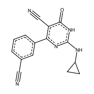 N#Cc1cccc(-c2nc(NC3CC3)[nH]c(=O)c2C#N)c1